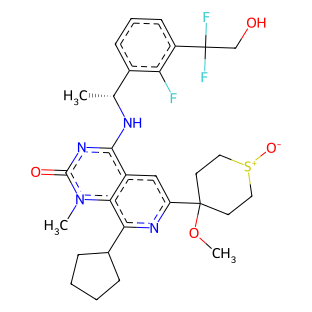 COC1(c2cc3c(N[C@H](C)c4cccc(C(F)(F)CO)c4F)nc(=O)n(C)c3c(C3CCCC3)n2)CC[S+]([O-])CC1